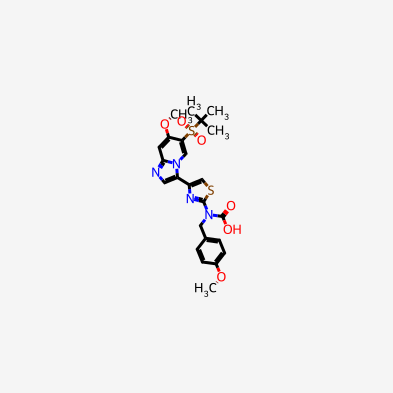 COc1ccc(CN(C(=O)O)c2nc(-c3cnc4cc(OC)c(S(=O)(=O)C(C)(C)C)cn34)cs2)cc1